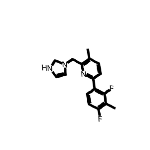 Cc1ccc(-c2ccc(F)c(C)c2F)nc1CN1C=CNC1